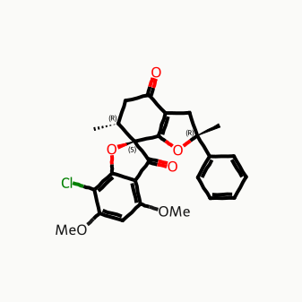 COc1cc(OC)c2c(c1Cl)O[C@]1(C2=O)C2=C(C[C@](C)(c3ccccc3)O2)C(=O)C[C@H]1C